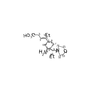 CCC(=CCC(=O)O)c1ccc([C@@H](CC)N2CCOCC2)c(N)c1